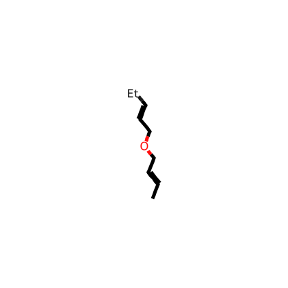 [CH2]C/C=C/COC/C=C/C